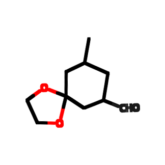 CC1CC(C=O)CC2(C1)OCCO2